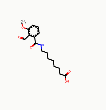 COc1cccc(C(=O)NCCCCCCCC(=O)O)c1C=O